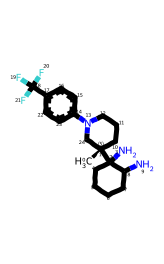 C[C@]1(C2(N)CCCCC2N)CCCN(c2ccc(C(F)(F)F)cc2)C1